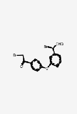 O=CC(Br)c1cccc(Oc2ccc(C(=O)CBr)cc2)c1